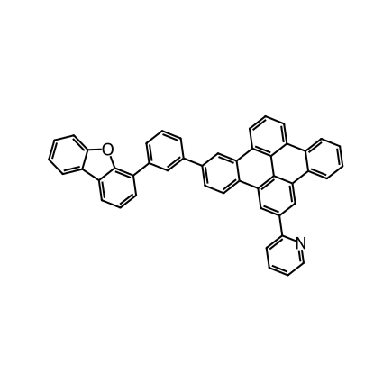 c1ccc(-c2cc3c4ccccc4c4cccc5c6cc(-c7cccc(-c8cccc9c8oc8ccccc89)c7)ccc6c(c2)c3c45)nc1